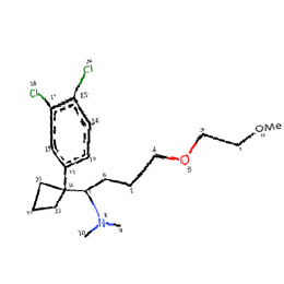 COCCOCCCC(N(C)C)C1(c2ccc(Cl)c(Cl)c2)CCC1